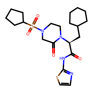 O=C(Nc1nccs1)[C@H](CC1CCCCC1)N1CCN(S(=O)(=O)C2CCCC2)CC1=O